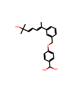 CC(=CC=CC(C)(C)O)c1cccc(COc2ccc(C(O)O)cc2)c1